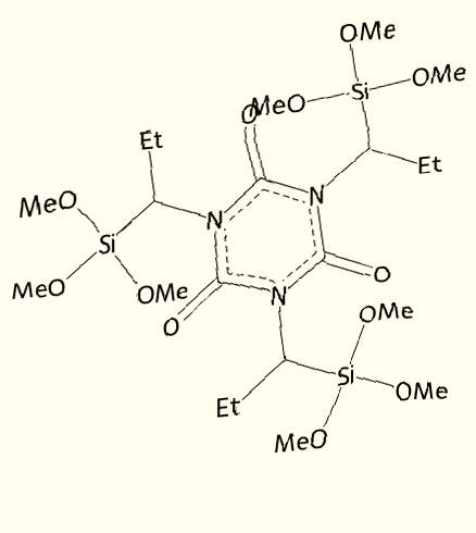 CCC(n1c(=O)n(C(CC)[Si](OC)(OC)OC)c(=O)n(C(CC)[Si](OC)(OC)OC)c1=O)[Si](OC)(OC)OC